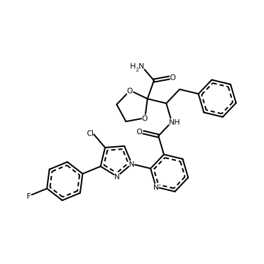 NC(=O)C1(C(Cc2ccccc2)NC(=O)c2cccnc2-n2cc(Cl)c(-c3ccc(F)cc3)n2)OCCO1